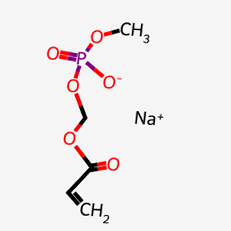 C=CC(=O)OCOP(=O)([O-])OC.[Na+]